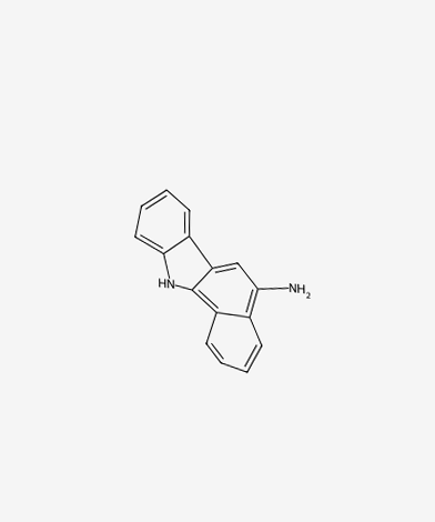 Nc1cc2c3ccccc3[nH]c2c2ccccc12